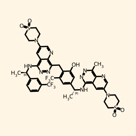 Cc1nnc(N[C@H](C)c2cc(O)c(Cc3nnc(N[C@H](C)c4cccc(C(F)(F)F)c4)c4cc(N5CCS(=O)(=O)CC5)cnc34)c(C(F)(F)F)c2)c2cc(N3CCS(=O)(=O)CC3)cnc12